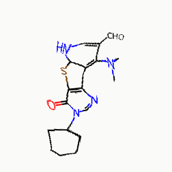 CN(C)C1=C2c3ncn(C4CCCCC4)c(=O)c3SC2NC=C1C=O